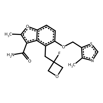 Cc1ncsc1COc1ccc2oc(C)c(C(N)=O)c2c1CC1(F)COC1